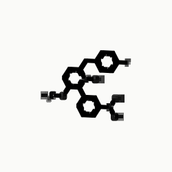 COc1ccc(Cc2ccc(F)cc2)[n+](O)c1-c1cccc(N(O)O)c1